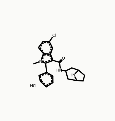 Cl.Cn1c(-c2ccccc2)c(C(=O)NC2CC3CCC(C2)N3)c2cc(Cl)ccc21